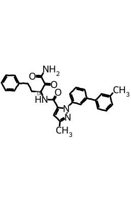 Cc1cccc(-c2cccc(-n3nc(C)cc3C(=O)N[C@@H](CCc3ccccc3)C(=O)C(N)=O)c2)c1